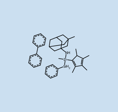 CC1=C(C)C(C)[C]([Zr]([CH3])([NH]C23CC4CC(CC(C)(C4)C2)C3)[SiH2]c2ccccc2)=C1C.c1ccc(-c2ccccc2)cc1